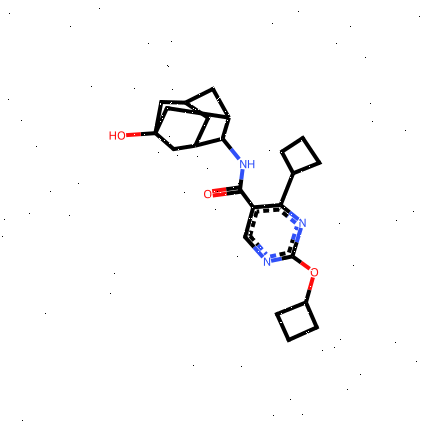 O=C(NC1C2CC3CC1CC(O)(C3)C2)c1cnc(OC2CCC2)nc1C1CCC1